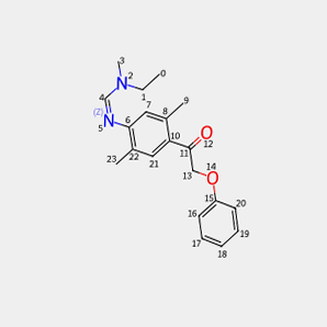 CCN(C)/C=N\c1cc(C)c(C(=O)COc2ccccc2)cc1C